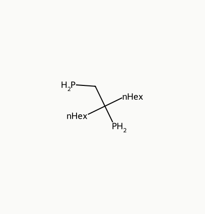 CCCCCCC(P)(CP)CCCCCC